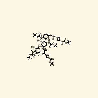 CN(C(=O)OC(C)(C)C)[C@@H]1[C@@H](O)[C@@H](O[C@H]2[C@H](NC(=O)C(O)C3CN(C(=O)OC(C)(C)C)C3)C[C@H](NC(=O)OC(C)(C)C)C([C@H]3OC(CNC[C@H]4C[C@H](NC(=O)OC(C)(C)C)C4)=CC[C@H]3NC(=O)OC(C)(C)C)[C@@H]2O)OC[C@]1(C)O